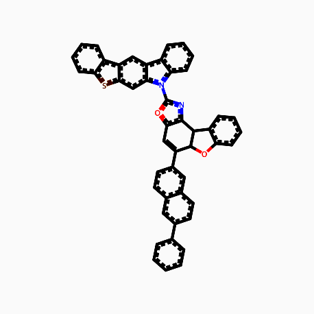 C1=C(c2ccc3cc(-c4ccccc4)ccc3c2)C2Oc3ccccc3C2c2nc(-n3c4ccccc4c4cc5c(cc43)sc3ccccc35)oc21